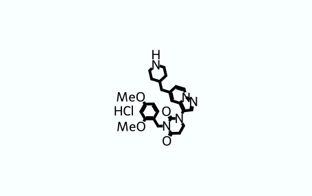 COc1ccc(CN2C(=O)CCN(c3cnn4ccc(CC5CCNCC5)cc34)C2=O)c(OC)c1.Cl